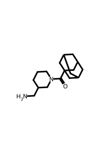 NCC1CCCN(C(=O)C23CC4CC(CC(C4)C2)C3)C1